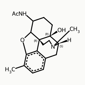 CC(=O)NC1CC[C@]2(O)[C@@H]3Cc4ccc(C)c5c4[C@]2(CCN3C)C1O5